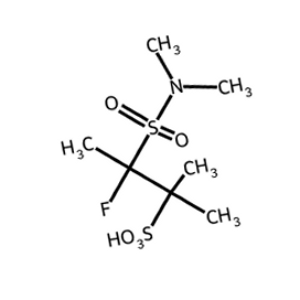 CN(C)S(=O)(=O)C(C)(F)C(C)(C)S(=O)(=O)O